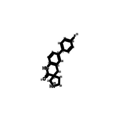 O=C1Nc2ccc(-c3ccc(F)cc3)cc2CC12CCNC2